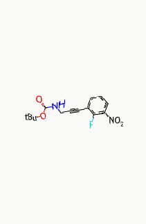 CC(C)(C)OC(=O)NCC#Cc1cccc([N+](=O)[O-])c1F